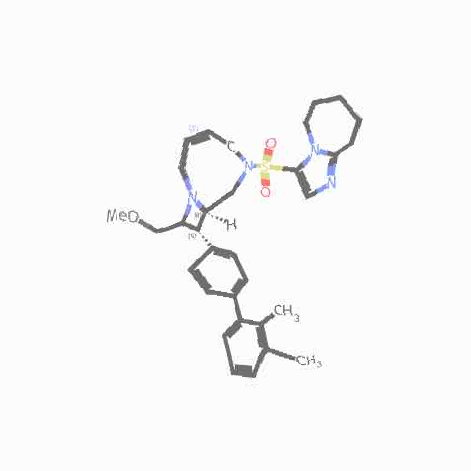 COCC1[C@@H](c2ccc(-c3cccc(C)c3C)cc2)[C@@H]2CN(S(=O)(=O)c3cnc4n3CCCCC4)C/C=C\CN12